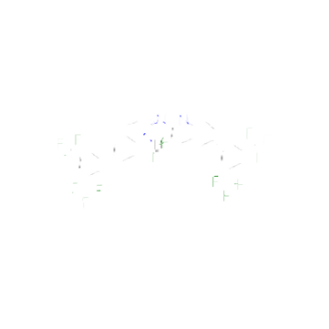 FB(F)n1/c(=N\c2ccc3cc(-c4cc(C(F)(F)F)cc(C(F)(F)F)c4)ccc3n2)ccc2cc(-c3cc(C(F)(F)F)cc(C(F)(F)F)c3)ccc21